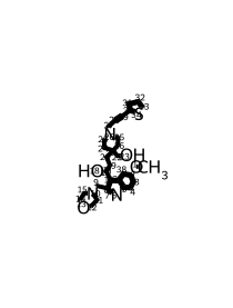 COc1ccc2ncc(CN3CCOCC3)c([C@H](O)CCC3(CO)CCN(CC#Cc4cccs4)CC3)c2c1